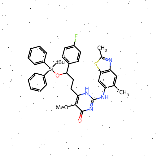 COc1c(CCC(O[Si](c2ccccc2)(c2ccccc2)C(C)(C)C)c2ccc(F)cc2)[nH]c(Nc2cc3sc(C)nc3cc2C)nc1=O